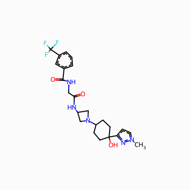 Cn1ccc(C2(O)CCC(N3CC(NC(=O)CNC(=O)c4cccc(C(F)(F)F)c4)C3)CC2)n1